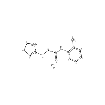 Cc1ccccc1NC(=O)CSC1=NCCN1.Cl